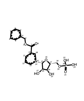 O=C(OCc1ccccc1)c1ccc[n+]([C@@H]2O[C@H](COP(=O)(O)O)[C@@H](O)[C@H]2O)c1